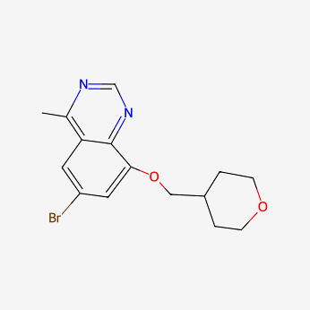 Cc1ncnc2c(OCC3CCOCC3)cc(Br)cc12